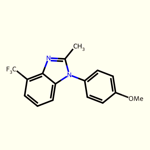 COc1ccc(-n2c(C)nc3c(C(F)(F)F)cccc32)cc1